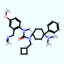 C=NCc1cc(OC)ccc1N1C[C@]2(CC[C@](c3ccccc3)(N(C)C)CC2)N(CC2CCC2)C1=O